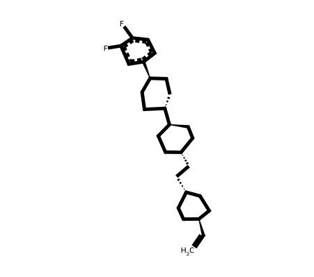 C=C[C@H]1CC[C@H](CC[C@H]2CC[C@H]([C@H]3CC[C@H](c4ccc(F)c(F)c4)CC3)CC2)CC1